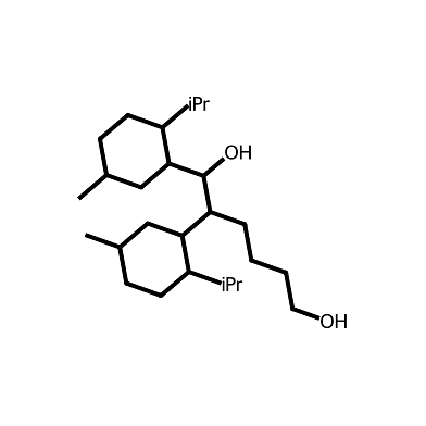 CC1CCC(C(C)C)C(C(O)C(CCCCO)C2CC(C)CCC2C(C)C)C1